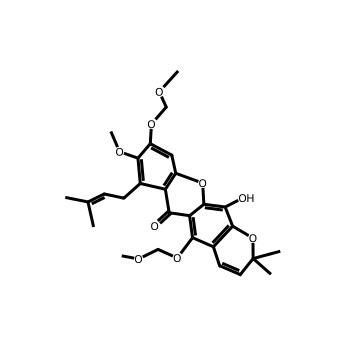 COCOc1cc2oc3c(O)c4c(c(OCOC)c3c(=O)c2c(CC=C(C)C)c1OC)C=CC(C)(C)O4